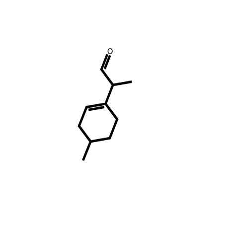 CC1CC=C(C(C)C=O)CC1